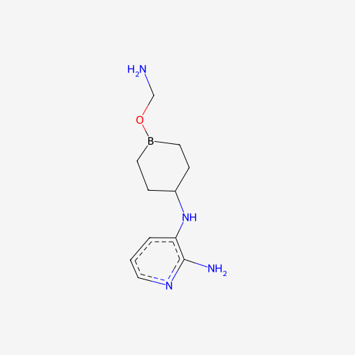 NCOB1CCC(Nc2cccnc2N)CC1